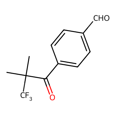 CC(C)(C(=O)c1ccc(C=O)cc1)C(F)(F)F